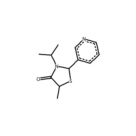 CC1SC(c2cccnc2)N(C(C)C)C1=O